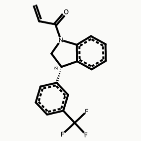 C=CC(=O)N1C[C@@H](c2cccc(C(F)(F)F)c2)c2ccccc21